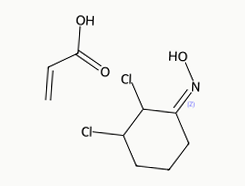 C=CC(=O)O.O/N=C1/CCCC(Cl)C1Cl